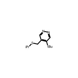 CC(C)SCc1cnncc1C(C)(C)C